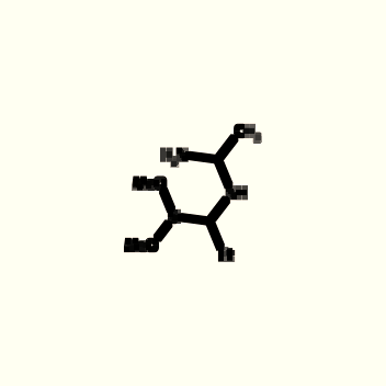 CCC(NC(C)N)[Si](OC)OC